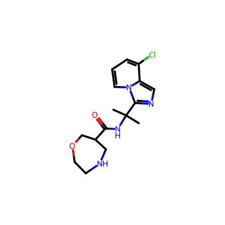 CC(C)(NC(=O)C1CNCCOC1)c1ncc2c(Cl)cccn12